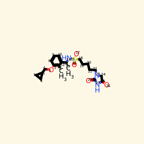 Cc1c(OCC2CC2)cccc1[C@H](C)NS(=O)(=O)CCCCCN1CC(=O)NC1=O